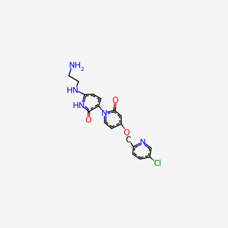 NCCNc1ccc(-n2ccc(OCc3ccc(Cl)cn3)cc2=O)c(=O)[nH]1